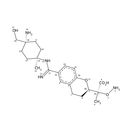 C[C@@](ON)(C(=O)O)[C@H]1CCc2cc(C(=N)N[C@]3(C)CC[C@](N)(CO)CC3)ccc2O1